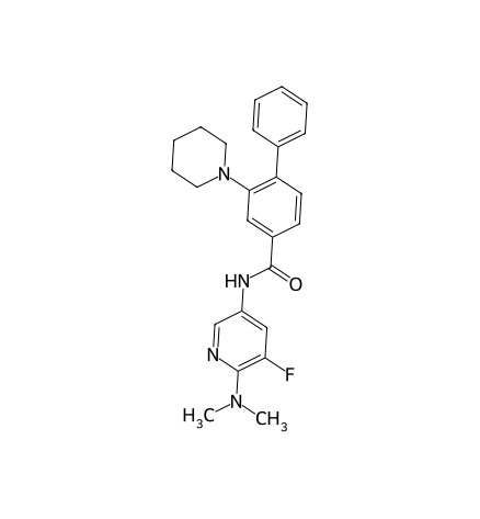 CN(C)c1ncc(NC(=O)c2ccc(-c3ccccc3)c(N3CCCCC3)c2)cc1F